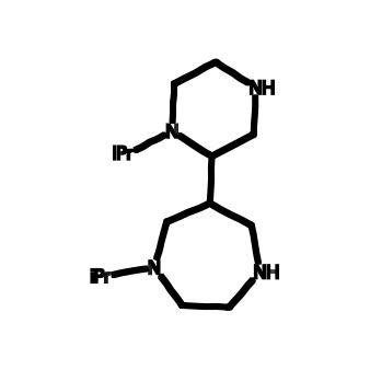 CC(C)N1CCNCC(C2CNCCN2C(C)C)C1